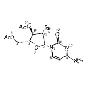 CC(=O)OC[C@H]1O[C@@H](n2ccc(N)nc2=O)[C@@H](Br)[C@@H]1OC(C)=O